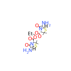 CCC(OC(=O)[C@@H]1N2C(=O)[C@@H](N)[C@H]2SC1(C)C)OC(=O)[C@@H]1N2C(=O)[C@@H](N)[C@H]2SC1(C)C